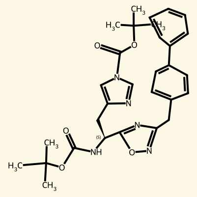 CC(C)(C)OC(=O)N[C@@H](Cc1cn(C(=O)OC(C)(C)C)cn1)c1nc(Cc2ccc(-c3ccccc3)cc2)no1